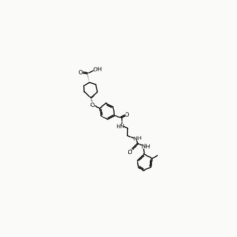 Cc1ccccc1NC(=O)NCCNC(=O)c1ccc(O[C@H]2CC[C@@H](C(=O)O)CC2)cc1